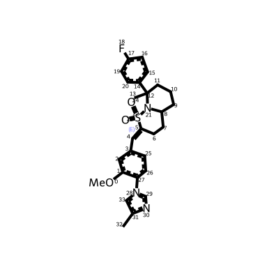 COc1cc(/C=C2\CCC3CCCC(C)(c4ccc(F)cc4)N3S2(=O)=O)ccc1-n1cnc(C)c1